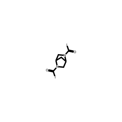 O=C(I)N1CC2CC1CN2C(=O)I